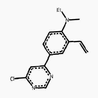 C=Cc1cc(-c2cc(Cl)ncn2)ccc1N(C)CC